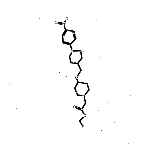 CCOC(=O)CN1CCC(OCC2CCN(c3ccc([N+](=O)[O-])cc3)CC2)CC1